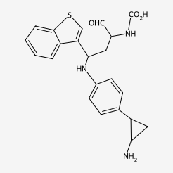 NC1CC1c1ccc(NC(CC(C=O)NC(=O)O)c2csc3ccccc23)cc1